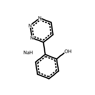 Oc1ccccc1-c1ccnnn1.[NaH]